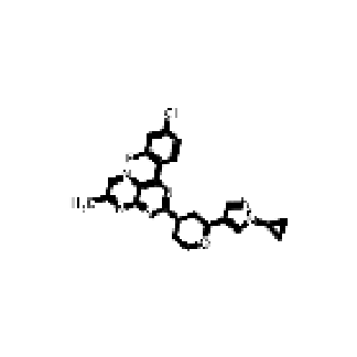 Cc1cnc2c(-c3ccc(Cl)cc3F)nc(C3CCOC(c4cnn(C5CC5)c4)C3)nc2n1